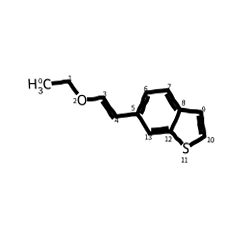 CCOC=Cc1ccc2ccsc2c1